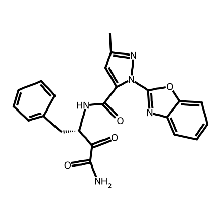 Cc1cc(C(=O)N[C@@H](Cc2ccccc2)C(=O)C(N)=O)n(-c2nc3ccccc3o2)n1